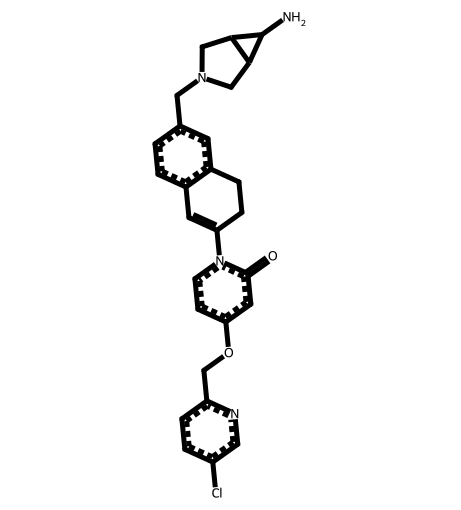 NC1C2CN(Cc3ccc4c(c3)CCC(n3ccc(OCc5ccc(Cl)cn5)cc3=O)=C4)CC12